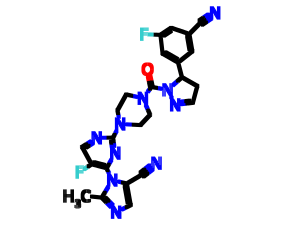 Cc1ncc(C#N)n1-c1nc(N2CCN(C(=O)N3N=CCC3c3cc(F)cc(C#N)c3)CC2)ncc1F